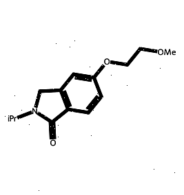 COCCOc1ccc2c(c1)CN(C(C)C)C2=O